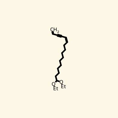 C=CC#C/C=C\CCCCCCCCCC(OCC)OCC